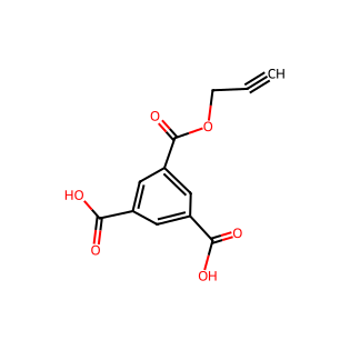 C#CCOC(=O)c1cc(C(=O)O)cc(C(=O)O)c1